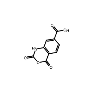 O=C(O)c1ccc2c(=O)oc(=O)[nH]c2c1